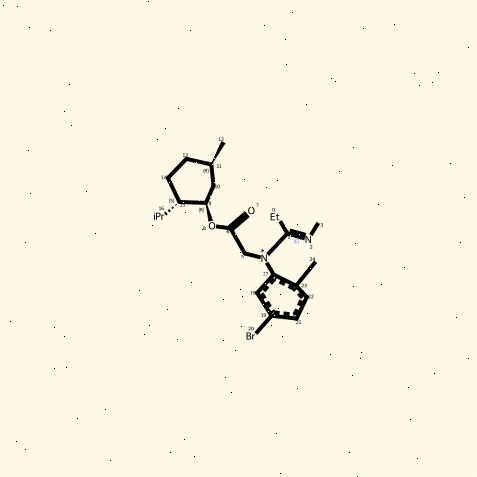 CC/C(=N\C)N(CC(=O)O[C@@H]1C[C@H](C)CC[C@H]1C(C)C)c1cc(Br)ccc1C